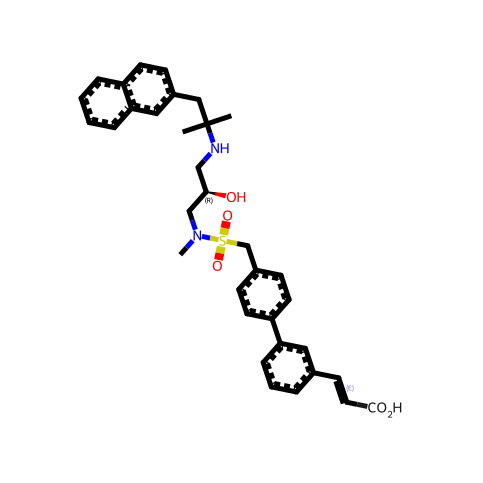 CN(C[C@H](O)CNC(C)(C)Cc1ccc2ccccc2c1)S(=O)(=O)Cc1ccc(-c2cccc(/C=C/C(=O)O)c2)cc1